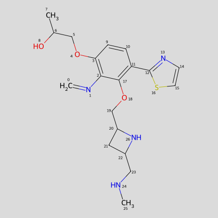 C=Nc1c(OCC(C)O)ccc(-c2nccs2)c1OCC1CC(CNC)N1